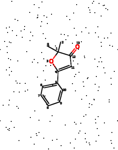 CC1(C)OC(c2ccccc2)=CC1=O